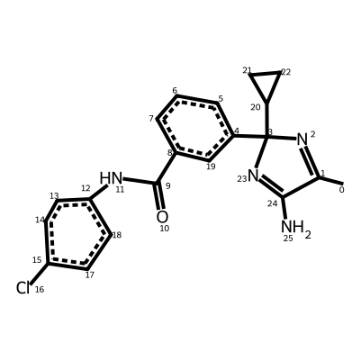 CC1=NC(c2cccc(C(=O)Nc3ccc(Cl)cc3)c2)(C2CC2)N=C1N